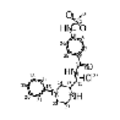 CS(=O)(=O)Nc1ccc(C(=O)NCC2CN(c3ccccc3)CCN2)cc1.Cl